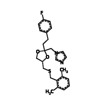 Cc1cccc(C)c1CSCC1COC(CCc2ccc(F)cc2)(Cn2ccnc2)O1